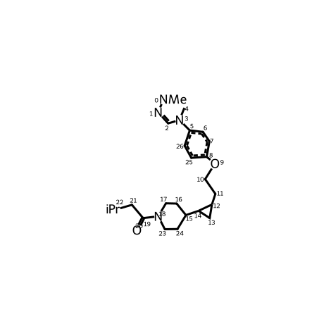 CN/N=C\N(C)c1ccc(OCCC2CC2C2CCN(C(=O)CC(C)C)CC2)cc1